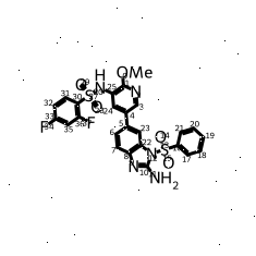 COc1ncc(-c2ccc3nc(N)n(S(=O)(=O)c4ccccc4)c3c2)cc1NS(=O)(=O)c1ccc(F)cc1F